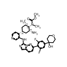 COC(=O)N(C)[C@@H]1[C@H](N)C[C@H](c2ccncc2Nc2ncc3ccc(-c4c(F)cc(C5(O)CCOCC5)cc4F)nn23)C[C@@H]1C